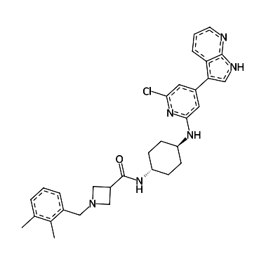 Cc1cccc(CN2CC(C(=O)N[C@H]3CC[C@H](Nc4cc(-c5c[nH]c6ncccc56)cc(Cl)n4)CC3)C2)c1C